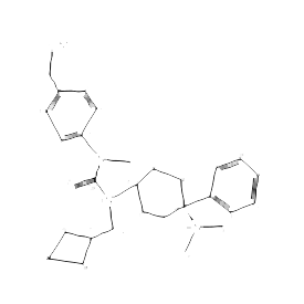 COCc1ccc(N2C[C@]3(CC[C@](c4ccccc4)(N(C)C)CC3)N(CC3CCC3)C2=O)cc1